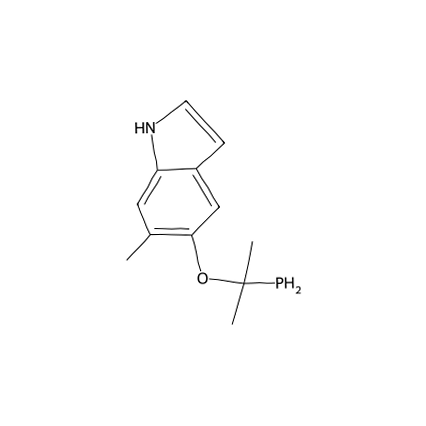 Cc1cc2[nH]ccc2cc1OC(C)(C)P